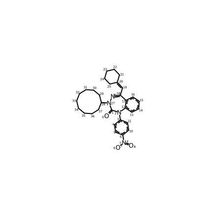 O=C1N(c2ccc([N+](=O)[O-])cc2)c2ccccc2C(C=C2CCCCC2)=NN1C1CCCCCCCCC1